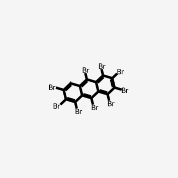 Brc1[c]c2c(Br)c3c(Br)c(Br)c(Br)c(Br)c3c(Br)c2c(Br)c1Br